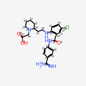 N=C(N)c1ccc(NC(=O)c2cc(Cl)ccc2NCCC2CCCCN2CC(=O)O)cc1